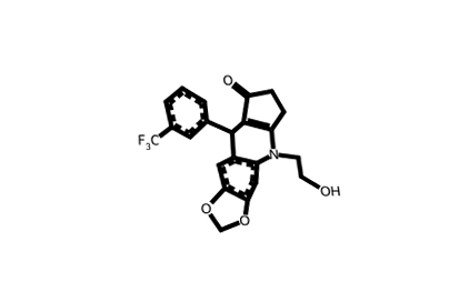 O=C1CCC2=C1C(c1cccc(C(F)(F)F)c1)c1cc3c(cc1N2CCO)OCO3